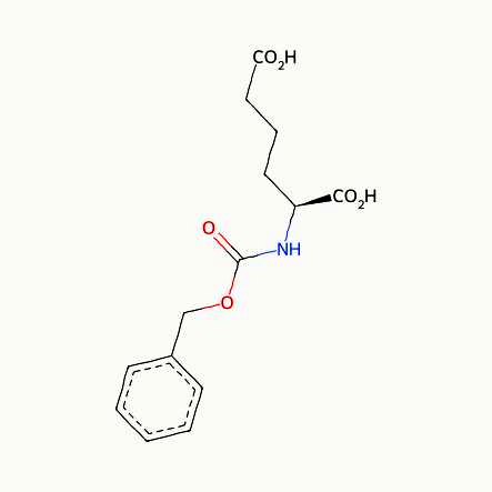 O=C(O)CCC[C@H](NC(=O)OCc1ccccc1)C(=O)O